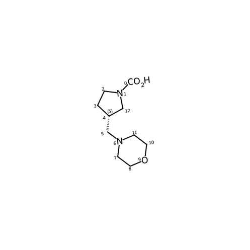 O=C(O)N1CC[C@@H](CN2CCOCC2)C1